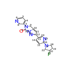 O=C1N(c2cccnc2)Cc2cc(-c3ccc(N4CCC(F)C4)nc3)nn21